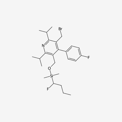 CCCC(F)[Si](C)(C)OCc1c(C(C)C)nc(C(C)C)c(CBr)c1-c1ccc(F)cc1